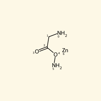 NCC(=O)ON.[Zn]